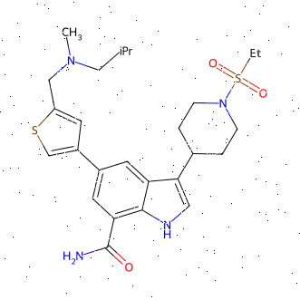 CCS(=O)(=O)N1CCC(c2c[nH]c3c(C(N)=O)cc(-c4csc(CN(C)CC(C)C)c4)cc23)CC1